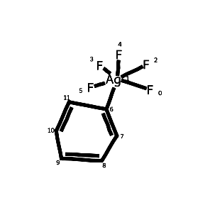 [F][Ag]([F])([F])([F])([F])[c]1ccccc1